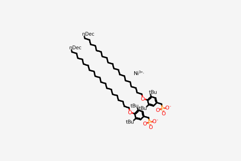 CCCCCCCCCCCCCCCCCCCCCCCCCCCCCCOc1c(C(C)(C)C)cc(CP(=O)([O-])[O-])cc1C(C)(C)C.CCCCCCCCCCCCCCCCCCCCCCCCCCCCCCOc1c(C(C)(C)C)cc(CP(=O)([O-])[O-])cc1C(C)(C)C.[Ni+3]